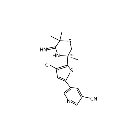 CC1(C)SC[C@@](C)(c2sc(-c3cncc(C#N)c3)cc2Cl)NC1=N